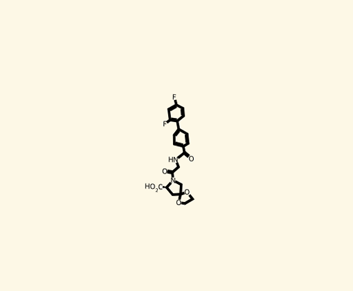 O=C(NCC(=O)N1CC2(C[C@H]1C(=O)O)OCCO2)c1ccc(-c2ccc(F)cc2F)cc1